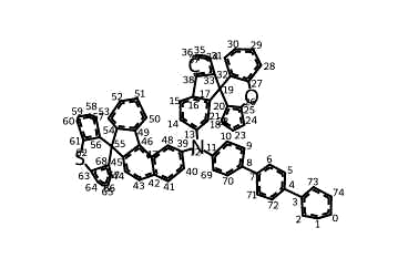 c1ccc(-c2ccc(-c3ccc(N(c4ccc5c(c4)C4(c6ccccc6Oc6ccccc64)c4ccccc4-5)c4ccc5ccc6c(c5c4)-c4ccccc4C64c5ccccc5Sc5ccccc54)cc3)cc2)cc1